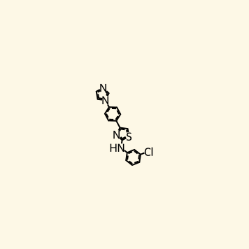 Clc1cccc(Nc2nc(-c3ccc(-n4ccnc4)cc3)cs2)c1